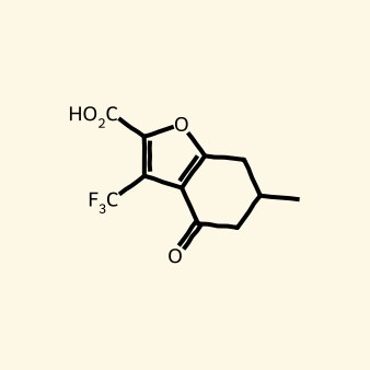 CC1CC(=O)c2c(oc(C(=O)O)c2C(F)(F)F)C1